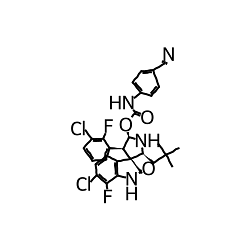 CC(C)(C)C[C@@H]1N[C@H](OC(=O)Nc2ccc(C#N)cc2)[C@H](c2cccc(Cl)c2F)[C@]12C(=O)Nc1c2ccc(Cl)c1F